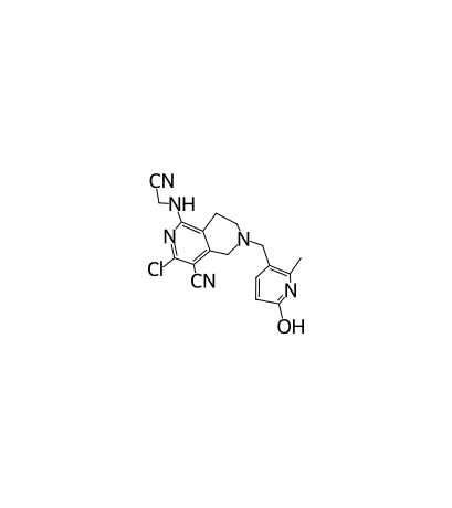 Cc1nc(O)ccc1CN1CCc2c(NCC#N)nc(Cl)c(C#N)c2C1